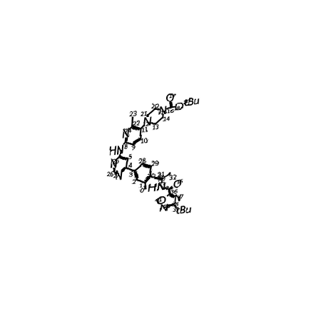 Cc1cc(-c2cc(Nc3ccc(N4CCN(C(=O)OC(C)(C)C)CC4)c(C)n3)ncn2)ccc1[C@@H](C)NC(=O)c1nc(C(C)(C)C)no1